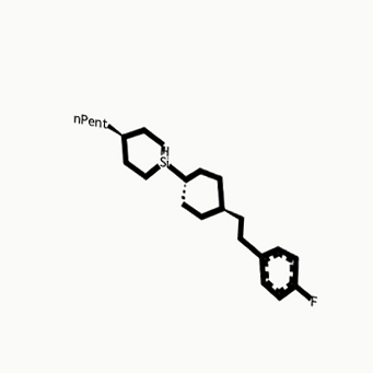 CCCCC[C@H]1CC[Si@H]([C@H]2CC[C@H](CCc3ccc(F)cc3)CC2)CC1